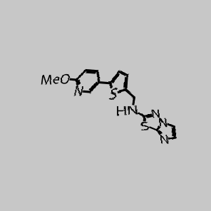 COc1ccc(-c2ccc(CNc3nn4ccnc4s3)s2)cn1